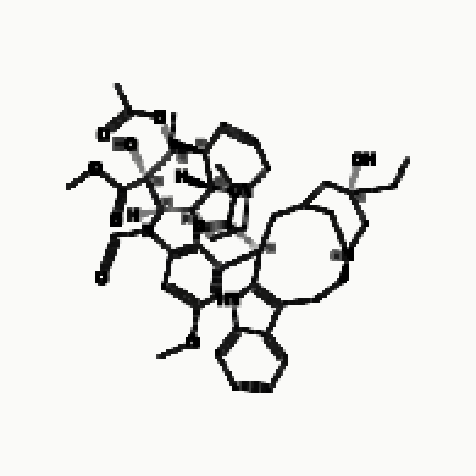 CC[C@]1(O)CC2C[N@](CCc3c([nH]c4ccccc34)[C@@](C(=O)OC)(c3cc(OC)cc4c3[C@@]35CCN6CC=C[C@@](CC)([C@@H](OC(C)=O)[C@](O)(C(=O)OC)[C@@H]3N4C=O)[C@H]65)C2)C1